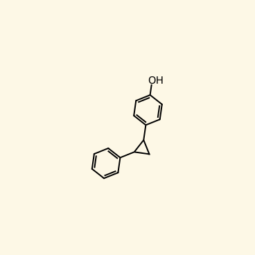 Oc1ccc(C2CC2c2ccccc2)cc1